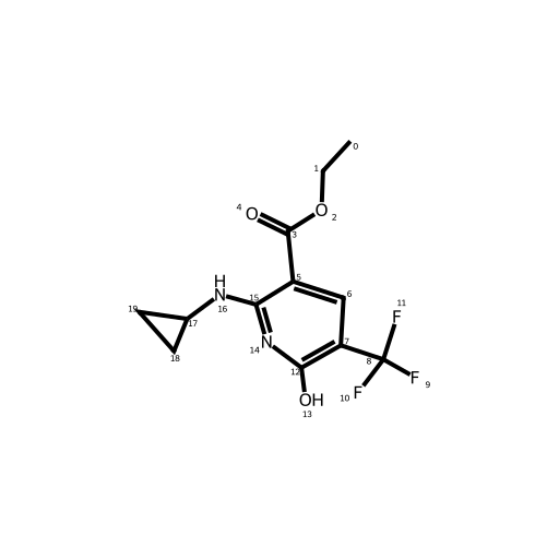 CCOC(=O)c1cc(C(F)(F)F)c(O)nc1NC1CC1